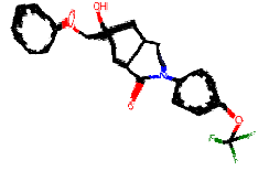 O=C1C2CC(O)(COc3ccccc3)CC2CN1c1ccc(OC(F)(F)F)cc1